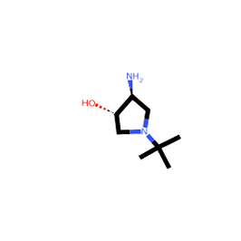 CC(C)(C)N1C[C@H](N)[C@@H](O)C1